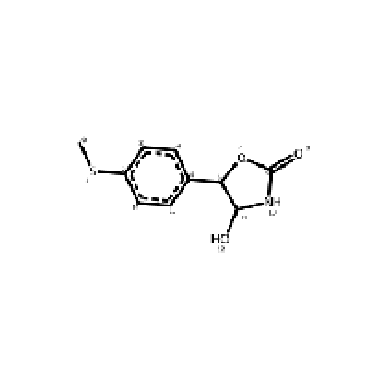 CSc1ccc(C2OC(=O)NC2O)cc1